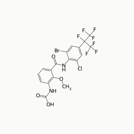 COc1c(NC(=O)O)cccc1C(=O)Nc1c(Cl)cc(C(F)(C(F)(F)F)C(F)(F)F)cc1Br